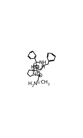 C[C@H](N)C(=O)N1CCC[C@]1(C(=O)O)P(=O)(O)CC(Cc1ccccc1)NC(=O)c1ccccc1